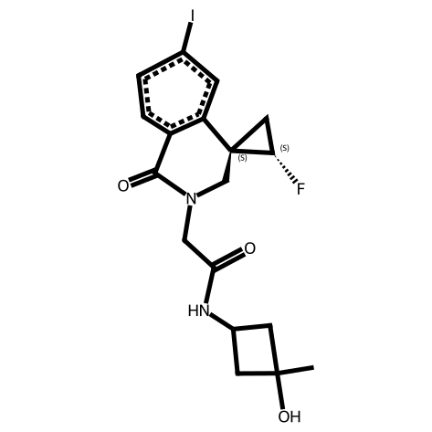 CC1(O)CC(NC(=O)CN2C[C@]3(C[C@@H]3F)c3cc(I)ccc3C2=O)C1